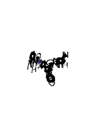 N#Cc1ccc(NC(=O)C2CN(C3CCOCC3)CC2c2ccc(/C=C/C(=O)Nc3ccccc3N)cc2)nc1